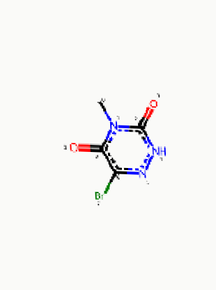 Cn1c(=O)[nH]nc(Br)c1=O